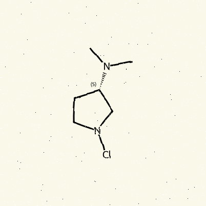 CN(C)[C@H]1CCN(Cl)C1